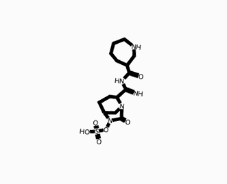 N=C(NC(=O)C1CCCCNC1)C1CCC2CN1C(=O)N2OS(=O)(=O)O